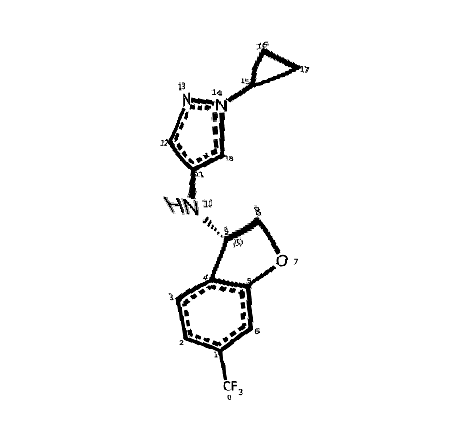 FC(F)(F)c1ccc2c(c1)OC[C@H]2Nc1cnn(C2CC2)c1